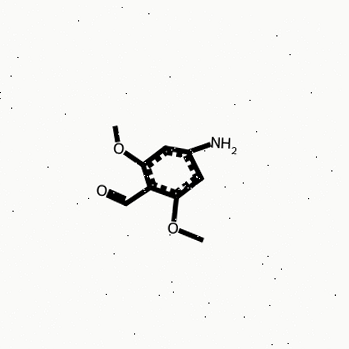 COc1cc(N)cc(OC)c1C=O